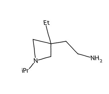 CCC1(CCN)CN(C(C)C)C1